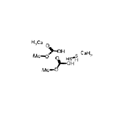 O=C(O)[O][Mo].O=C(O)[O][Mo].SS.[CaH2].[CaH2]